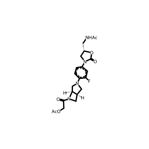 CC(=O)NC[C@H]1CN(c2ccc(N3C[C@H]4CN(C(=O)COC(C)=O)[C@H]4C3)c(F)c2)C(=O)O1